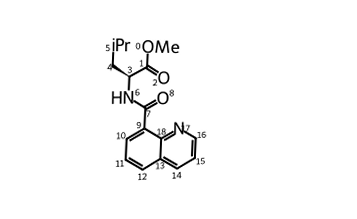 COC(=O)[C@H](CC(C)C)NC(=O)c1cccc2cccnc12